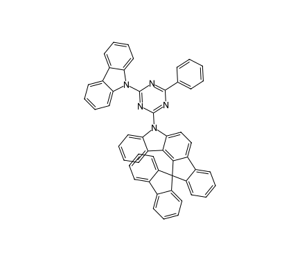 c1ccc(-c2nc(-n3c4ccccc4c4ccccc43)nc(-n3c4ccccc4c4c5c(ccc43)-c3ccccc3C53c4ccccc4-c4ccccc43)n2)cc1